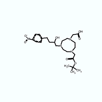 CC(C)(C)OC(=O)CN1CCN(CC(=O)O)CCN(CC(O)CCc2ccc([N+](=O)[O-])cc2)CC1